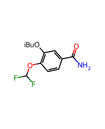 CC(C)COc1cc(C(N)=O)ccc1OC(F)F